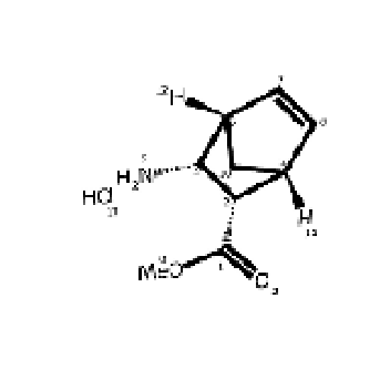 COC(=O)[C@@H]1[C@H](N)[C@@H]2C=C[C@H]1C2.Cl